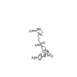 N=C(N)NCCCC(=O)N[C@@H]1CC[C@@]2(O)[C@H]3Cc4ccc(O)cc4[C@@]2(CCN3CC2CC2)C1